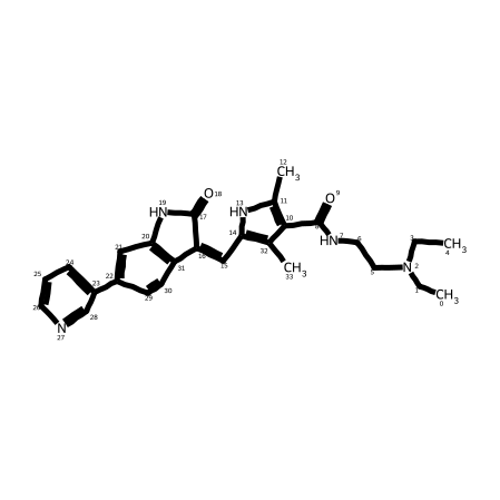 CCN(CC)CCNC(=O)c1c(C)[nH]c(C=C2C(=O)Nc3cc(-c4cccnc4)ccc32)c1C